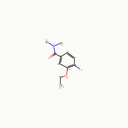 CCN(CC)C(=O)c1ccc(I)c(OCC(F)(F)F)c1